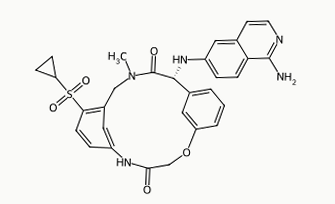 CN1Cc2cc(ccc2S(=O)(=O)C2CC2)NC(=O)COc2cccc(c2)[C@@H](Nc2ccc3c(N)nccc3c2)C1=O